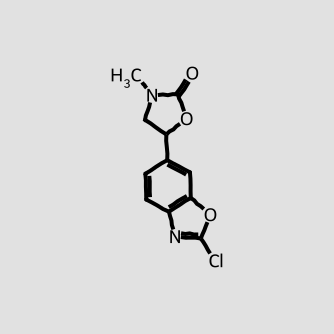 CN1CC(c2ccc3nc(Cl)oc3c2)OC1=O